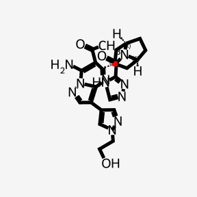 CC(=O)c1c([C@@H]2C[C@H]3CC[C@@H](C2)N3C(=O)c2nnc[nH]2)nc2c(-c3cnn(CCO)c3)cnn2c1N